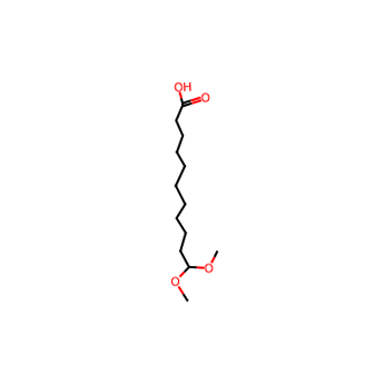 COC(CCCCCCCCCC(=O)O)OC